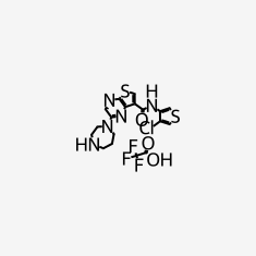 O=C(Nc1cscc1Cl)c1csc2ncc(N3CCCNCC3)nc12.O=C(O)C(F)(F)F